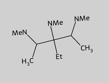 CCC(NC)(C(C)NC)C(C)NC